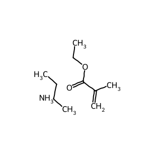 C=C(C)C(=O)OCC.CCCC.N